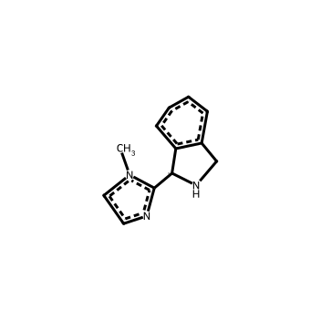 Cn1ccnc1[C]1NCc2ccccc21